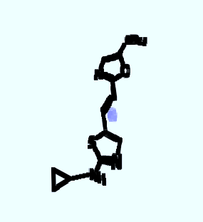 CC(C)(C)c1cnc(/C=C/c2cnc(NC3CC3)s2)o1